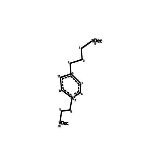 CCCCCCCCCCCCCc1cc[n+](CCCCCCCCCCCC)cc1